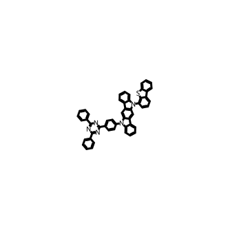 c1ccc(-c2nc(-c3ccccc3)nc(-c3ccc(-n4c5ccccc5c5cc6c(cc54)c4ccccc4n6-c4cccc5c4sc4ccccc45)cc3)n2)cc1